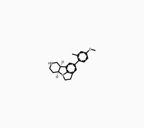 COc1ccc(-c2cc3c4c(c2)[C@@H]2CNCC[C@@H]2N4CC3)c(C)c1